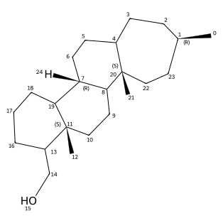 C[C@@H]1CCC2CC[C@@H]3C(CC[C@]4(C)C(CO)CCCC34)[C@@]2(C)CC1